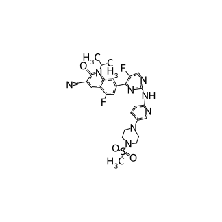 CC(C)n1c(=O)c(C#N)cc2c(F)cc(-c3nc(Nc4ccc(N5CCN(S(C)(=O)=O)CC5)cn4)ncc3F)cc21